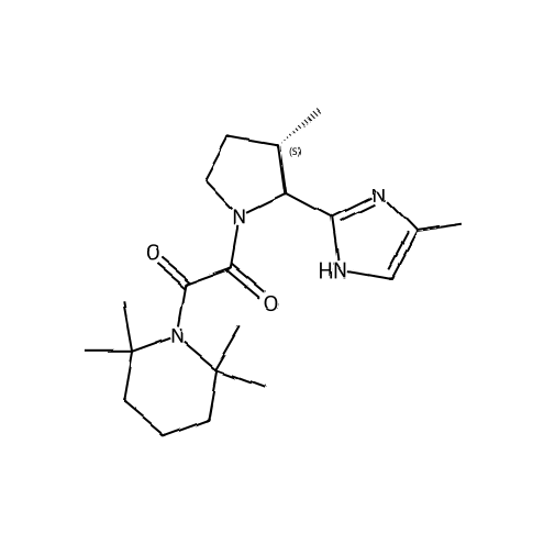 Cc1c[nH]c(C2[C@@H](C)CCN2C(=O)C(=O)N2C(C)(C)CCCC2(C)C)n1